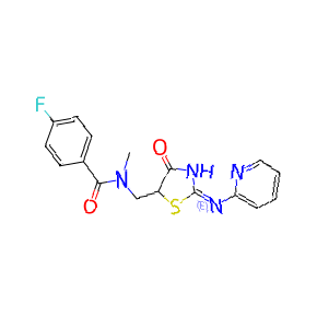 CN(CC1S/C(=N/c2ccccn2)NC1=O)C(=O)c1ccc(F)cc1